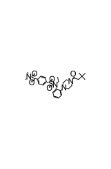 CCN(c1ccccc1N1CCN(C(=O)CC(C)(C)C)CC1)S(=O)(=O)c1ccc(S(=O)(=O)N(C)C)cc1